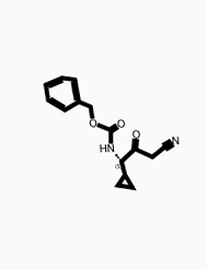 N#CCC(=O)[C@@H](NC(=O)OCc1ccccc1)C1CC1